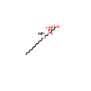 CCCCCCCCCCCCOCCOC(=O)C(CC(=O)O)S(=O)(=O)O.[NaH].[NaH]